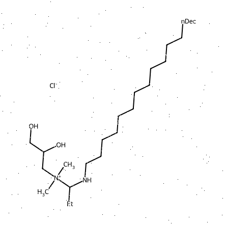 CCCCCCCCCCCCCCCCCCCCCCNC(CC)[N+](C)(C)CC(O)CO.[Cl-]